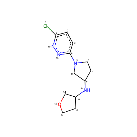 Clc1ccc(N2CCC(NC3CCOC3)C2)nn1